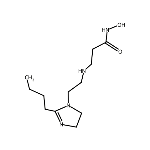 CCCCC1=NCCN1CCNCCC(=O)NO